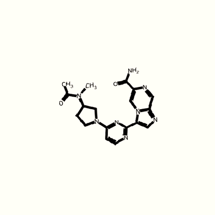 CC(=O)N(C)C1CCN(c2ccnc(-c3cnc4cnc(C(N)=O)cn34)n2)C1